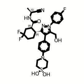 C[C@@H](C#N)NC(=O)[C@@H]1CC(F)(F)CC[C@H]1c1nn(-c2ccc(F)cc2)c(CO)c1-c1ccc(N2CCS(O)(O)CC2)cc1